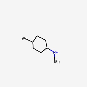 CC(C)C1CCC(NC(C)(C)C)CC1